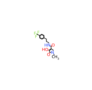 CCN1CC(C(=O)NCCCc2ccc(C(F)(F)F)cc2)=C(O)C1=O